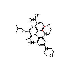 CC1=C(C(=O)OCC(C)C)C(c2cccc([N+](=O)[O-])c2)c2c(nc(N3CCOCC3)nc2N2CCOCC2)N1